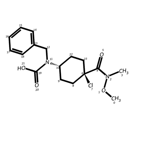 CON(C)C(=O)[C@]1(Cl)CC[C@H](N(Cc2ccccc2)C(=O)O)CC1